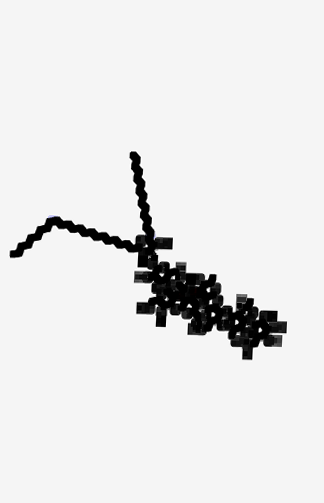 CCCCCCCC/C=C\CCCCCCCCCCCCCC(=O)N[C@@H](CO[C@@H]1OC(CO)[C@@H](O[C@@H]2OC(CO)[C@H](O)[C@H](O[C@@H]3OC(CO)[C@@H](O[C@@H]4OC(CO)[C@H](O)[C@H](O[C@H]5OC(CO)[C@H](O)[C@H](O[C@@H]6OC(CO)[C@H](O)[C@H](O)C6O)C5NC(C)=O)C4O[C@H]4OC(C)[C@@H](O)C(O)[C@@H]4O)[C@H](O)C3NC(C)=O)C2O)[C@H](O)C1O)[C@H](O)/C=C/CCCCCCCCCCCCC